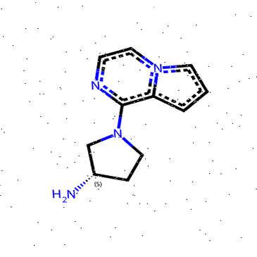 N[C@H]1CCN(c2nccn3cccc23)C1